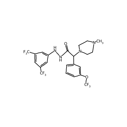 CN1CCN(C(C(=O)NNc2cc(C(F)(F)F)cc(C(F)(F)F)c2)c2cccc(OC(F)(F)F)c2)CC1